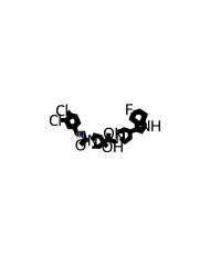 O=C(/C=C/c1ccc(Cl)c(Cl)c1)N1CCC(O)(C(O)CN2CCC(c3c[nH]c4ccc(F)cc34)CC2)CC1